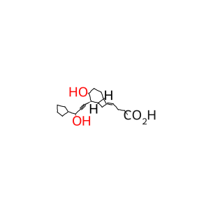 O=C(O)CC/C=C1\C[C@@H]2[C@@H](C#CC(O)C3CCCC3)[C@H](O)CC[C@H]12